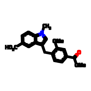 COC(=O)c1ccc(Cc2cn(C)c3ccc(C(=O)O)cc23)c(OC)c1